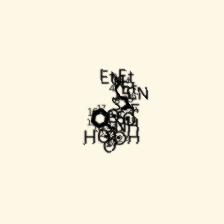 CC[N+](CC)(CC)Cc1sc(S(=O)(=O)NC(c2ccccc2)P(=O)(O)O)c(F)c1C#N